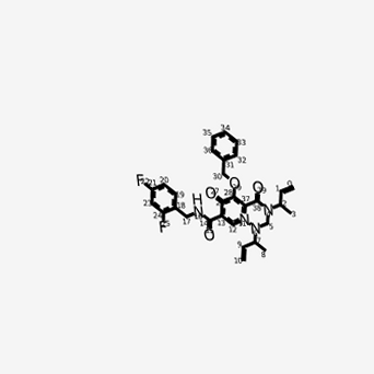 C=CC(C)N1CN(C(C)C=C)n2cc(C(=O)NCc3ccc(F)cc3F)c(=O)c(OCc3ccccc3)c2C1=O